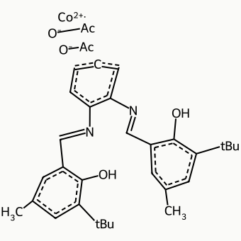 CC(=O)[O-].CC(=O)[O-].Cc1cc(C=Nc2ccccc2N=Cc2cc(C)cc(C(C)(C)C)c2O)c(O)c(C(C)(C)C)c1.[Co+2]